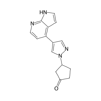 O=C1CCC(n2cc(-c3ccnc4[nH]ccc34)cn2)C1